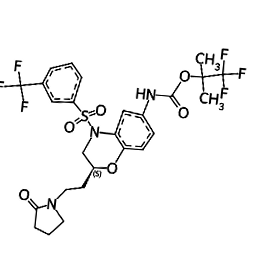 CC(C)(OC(=O)Nc1ccc2c(c1)N(S(=O)(=O)c1cccc(C(F)(F)F)c1)C[C@H](CCN1CCCC1=O)O2)C(F)(F)F